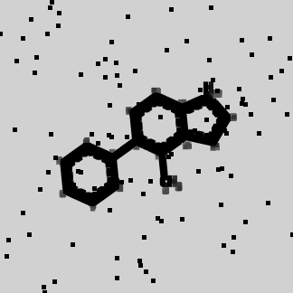 Cc1c(-c2ccccc2)ccc2[nH]ccc12